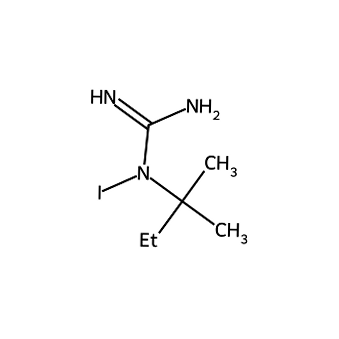 CCC(C)(C)N(I)C(=N)N